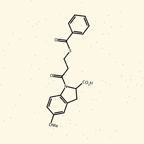 COc1ccc2c(c1)CC(C(=O)O)N2C(=O)CCSC(=O)c1ccccc1